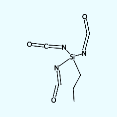 CCC[Si](N=C=O)(N=C=O)N=C=O